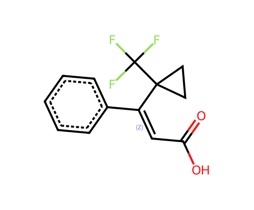 O=C(O)/C=C(/c1ccccc1)C1(C(F)(F)F)CC1